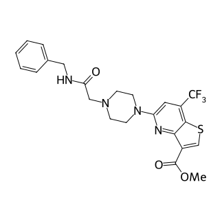 COC(=O)c1csc2c(C(F)(F)F)cc(N3CCN(CC(=O)NCc4ccccc4)CC3)nc12